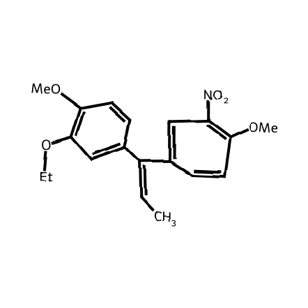 CC=C(c1ccc(OC)c(OCC)c1)c1ccc(OC)c([N+](=O)[O-])c1